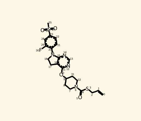 C=CCSC(=O)N1CCC(Oc2ncnc3c2CCN3c2ccc(S(C)(=O)=O)cc2F)CC1